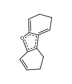 C1=Cc2oc3c(c2CC1)=CCCC=3